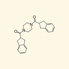 O=C(C1Cc2ccccc2C1)N1CCN(C(=O)C2Cc3ccccc3C2)CC1